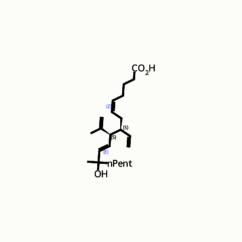 C=C[C@H](C/C=C\CCCC(=O)O)[C@@H](/C=C/C(C)(O)CCCCC)C(=C)C